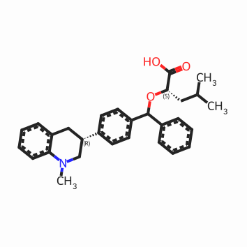 CC(C)C[C@H](OC(c1ccccc1)c1ccc([C@H]2Cc3ccccc3N(C)C2)cc1)C(=O)O